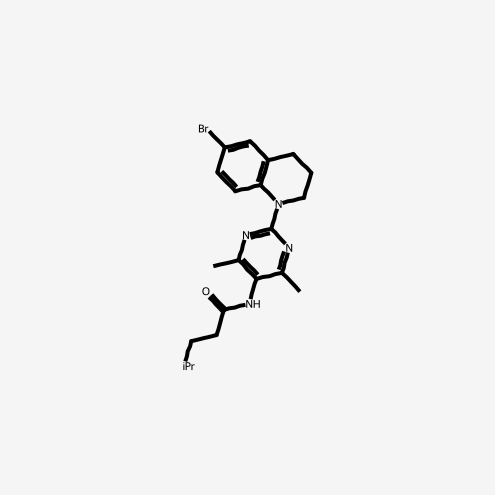 Cc1nc(N2CCCc3cc(Br)ccc32)nc(C)c1NC(=O)CCC(C)C